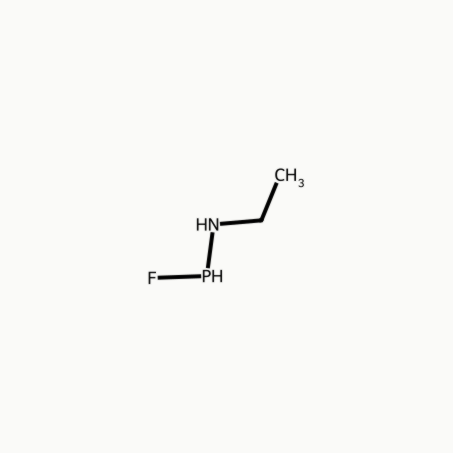 CCNPF